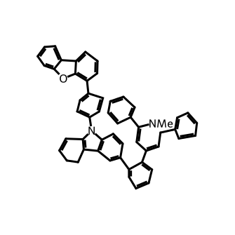 CN/C(=C\C(=C/Cc1ccccc1)c1ccccc1-c1ccc2c(c1)c1c(n2-c2ccc(-c3cccc4c3oc3ccccc34)cc2)C=CCC1)c1ccccc1